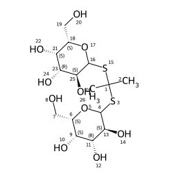 CC(C)(SC1O[C@@H](CO)[C@@H](O)[C@@H](O)[C@@H]1O)SC1O[C@@H](CO)[C@@H](O)[C@@H](O)[C@@H]1O